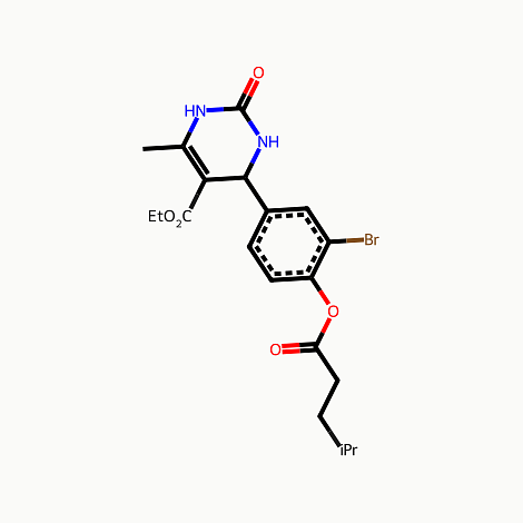 CCOC(=O)C1=C(C)NC(=O)NC1c1ccc(OC(=O)CCC(C)C)c(Br)c1